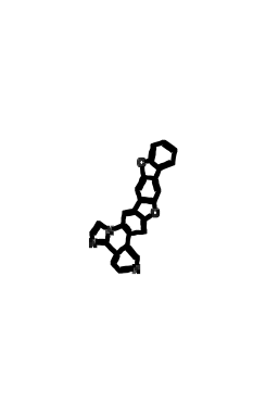 c1ccc2c(c1)oc1cc3c(cc12)oc1cc2c4cnccc4c4nccn4c2cc13